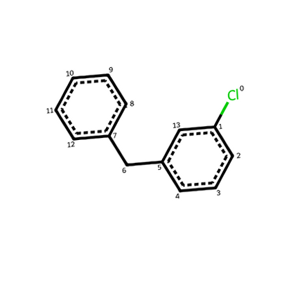 Clc1cccc(Cc2[c]cccc2)c1